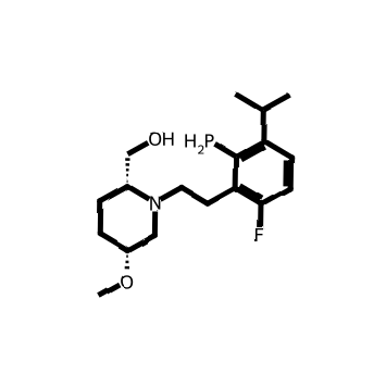 CO[C@@H]1CC[C@H](CO)N(CCc2c(F)ccc(C(C)C)c2P)C1